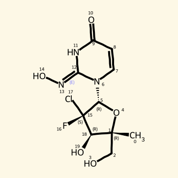 C[C@]1(CO)O[C@@H](n2ccc(=O)[nH]/c2=N\O)[C@@](F)(Cl)[C@@H]1O